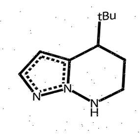 CC(C)(C)C1CCNn2nccc21